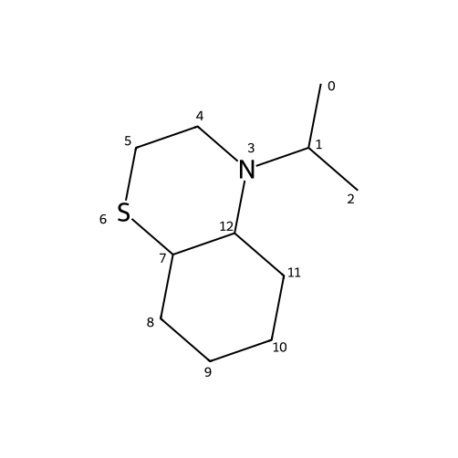 CC(C)N1CCSC2CCCCC21